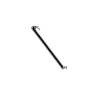 C[S+]([O-])S(=S)(=S)SSSSSSSSSSSSSSSSSSSSSSSSSSSSSSSSSSSSSSSSSSSSSSSSSSSSSSSSSSSS